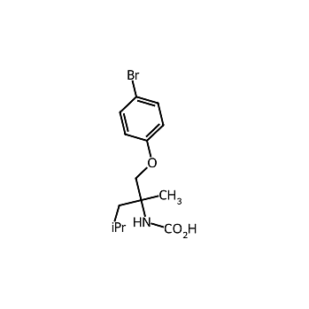 CC(C)CC(C)(COc1ccc(Br)cc1)NC(=O)O